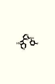 Fc1cccc(Nc2nccc(-c3c[nH]c4cnccc34)n2)c1